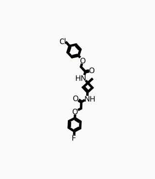 CC1(NC(=O)COc2ccc(Cl)cc2)C=C(NC(=O)COc2ccc(F)cc2)C1